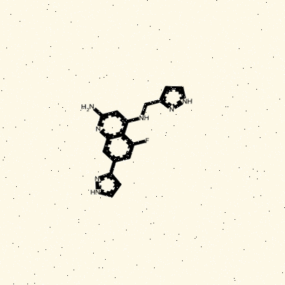 Nc1cc(NCc2cc[nH]n2)c2c(F)cc(-c3cc[nH]n3)cc2n1